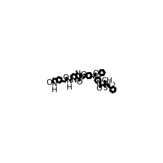 Cc1nc(-c2ccccc2)sc1C(=O)N1CC[C@@H](C(=O)N2CCC(O)(Cn3cnc4ccc(NC(=O)Cc5ccc6c(c5)NC(=O)C6)nc4c3=O)CC2)[C@H](c2ccccc2)C1